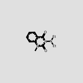 CCN(CC)n1c(=O)c2ccccc2n(C)c1=O